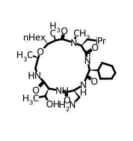 CCCCCC[C@H]1O[C@H](C)CNC(=O)[C@H](C(C)O)NC(=O)[C@H](CN)NC(=O)[C@H](C2CCCCC2)NC(=O)[C@H](CC(C)C)N(C)C(=O)[C@@H]1C